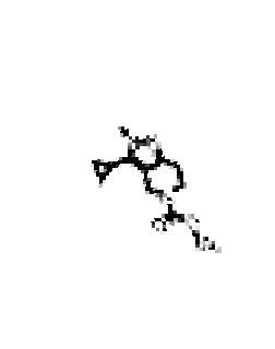 Cn1nc2c(c1C1CC1)CN(C(=O)OC(C)(C)C)CC2